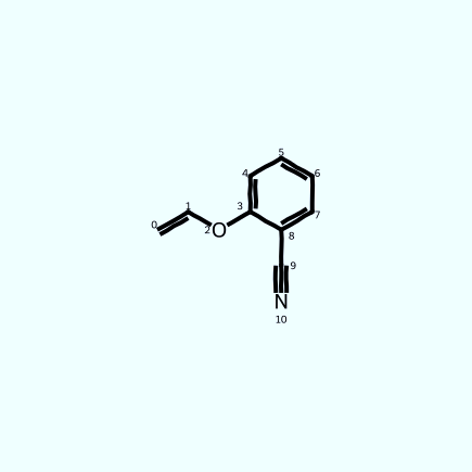 C=COc1ccccc1C#N